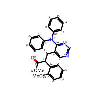 COC(=O)C(Cc1cncnc1N(c1ccccc1)c1ccccc1)c1ccccc1OC